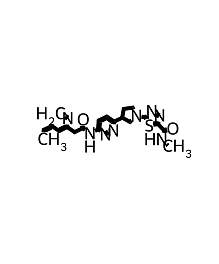 C=N/C(=C\C=C/C)CC(=O)Nc1ccc(C2CCN(c3nnc(C(=O)NC)s3)C2)nn1